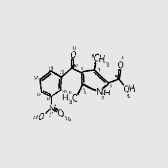 Cc1[nH]c(C(=O)O)c(C)c1C(=O)c1cccc([N+](=O)[O-])c1